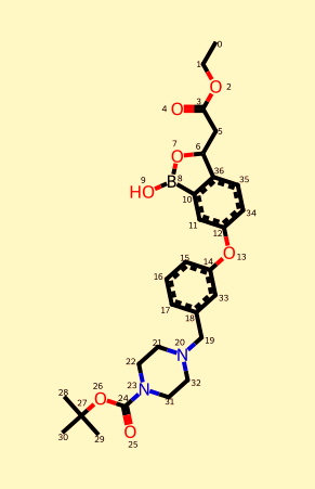 CCOC(=O)CC1OB(O)c2cc(Oc3cccc(CN4CCN(C(=O)OC(C)(C)C)CC4)c3)ccc21